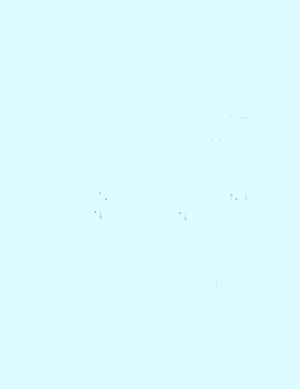 CCOC(=O)/C=C/c1c(C2CNC2)n(-c2ccc(F)cc2)c2cc3cnn(S(=O)(=O)c4ccccc4)c3cc12